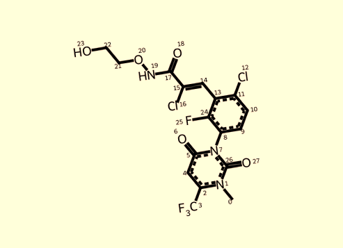 Cn1c(C(F)(F)F)cc(=O)n(-c2ccc(Cl)c(C=C(Cl)C(=O)NOCCO)c2F)c1=O